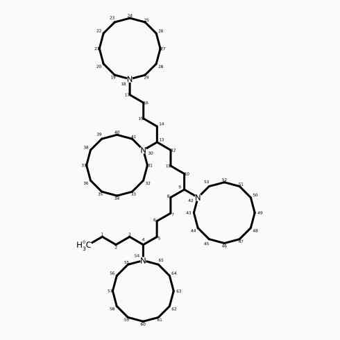 CCCCC(CCCCC(CCCC(CCCCN1CCCCCCCCCCC1)N1CCCCCCCCCCC1)N1CCCCCCCCCCC1)N1CCCCCCCCCCC1